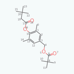 Cc1cc(COC(=O)C(C)(C)C)cc(C)c1OC(=O)CC(C)(C)C